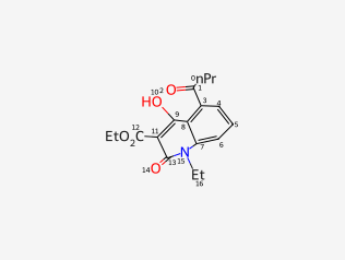 CCCC(=O)c1cccc2c1c(O)c(C(=O)OCC)c(=O)n2CC